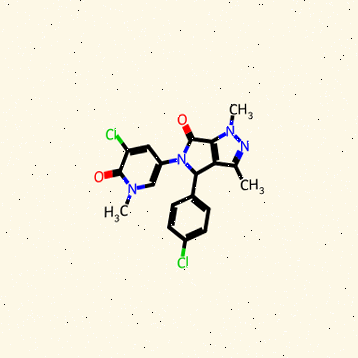 Cc1nn(C)c2c1C(c1ccc(Cl)cc1)N(c1cc(Cl)c(=O)n(C)c1)C2=O